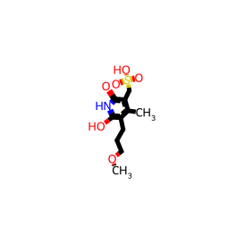 COCCCc1c(O)[nH]c(=O)c(CS(=O)(=O)O)c1C